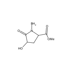 BN1C(=O)C(O)CC1C(=O)OC